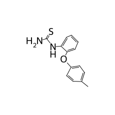 Cc1ccc(Oc2ccccc2NC(N)=S)cc1